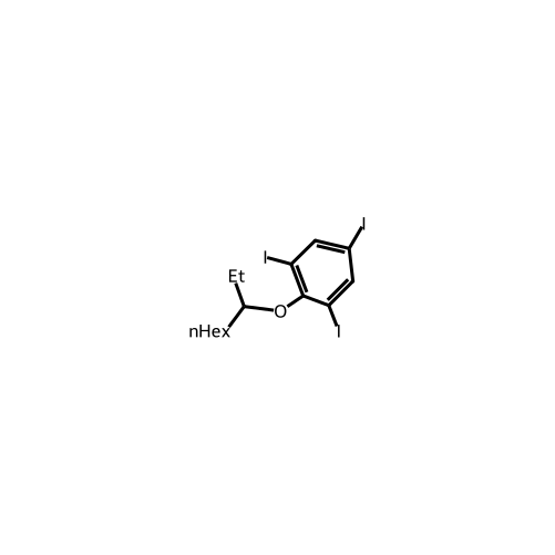 CCCCCCC(CC)Oc1c(I)cc(I)cc1I